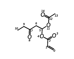 C=CC(=O)OC(CC(=O)CC)OC(C)=O